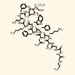 C[C@H](NC(=O)CNCCN)C(=O)NCC(=O)N[C@@H](CS)C(=O)N[C@@H](CCCCN)C(=O)N[C@@H](CC(N)=O)C(=O)N[C@@H](Cc1ccccc1)C(=O)N[C@@H](Cc1ccccc1)C(=O)N[C@@H](Cc1c[nH]c2ccccc12)C(=O)N[C@@H](CCCCN)C(=O)N[C@H](C(=O)N[C@@H](Cc1ccccc1)C(=O)N[C@H](C(=O)N[C@@H](CO)C(=O)N[C@@H](CS)C(=O)O)[C@@H](C)O)[C@@H](C)O